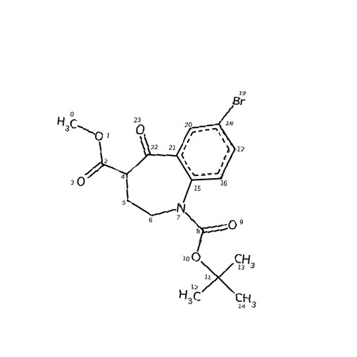 COC(=O)C1CCN(C(=O)OC(C)(C)C)c2ccc(Br)cc2C1=O